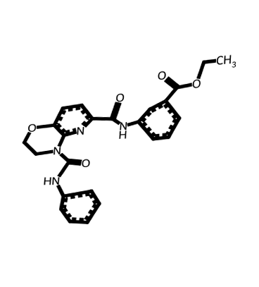 CCOC(=O)c1cccc(NC(=O)c2ccc3c(n2)N(C(=O)Nc2ccccc2)CCO3)c1